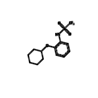 O=S(=O)(Nc1ccccc1OC1CCCCC1)C(F)(F)F